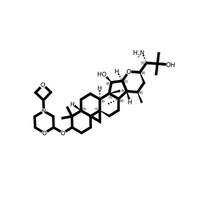 C[C@@H]1C[C@H]([C@H](N)C(C)(C)O)O[C@H]2[C@H]1[C@@]1(C)CC[C@@]34CC35CCC(OC3CN(C6COC6)CCO3)C(C)(C)[C@@H]5CC[C@H]4[C@]1(C)[C@H]2O